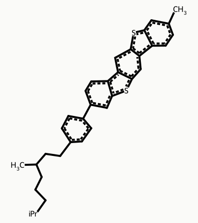 Cc1ccc2c(c1)sc1cc3c(cc12)sc1cc(-c2ccc(CCC(C)CCCC(C)C)cc2)ccc13